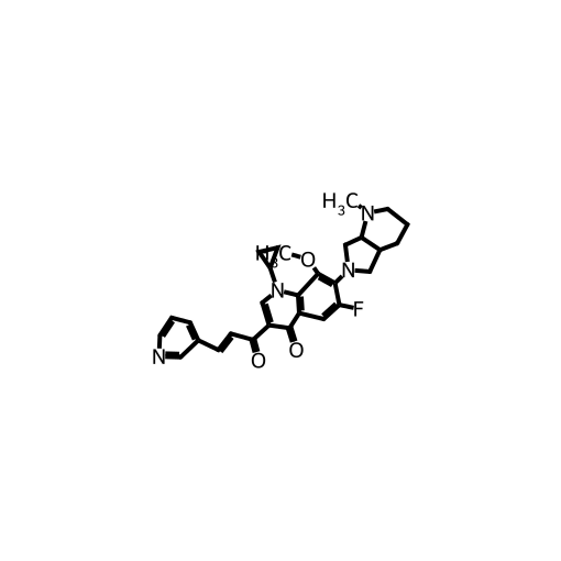 COc1c(N2CC3CCCN(C)C3C2)c(F)cc2c(=O)c(C(=O)C=Cc3cccnc3)cn(C3CC3)c12